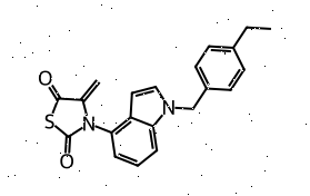 C=C1C(=O)SC(=O)N1c1cccc2c1ccn2Cc1ccc(CC)cc1